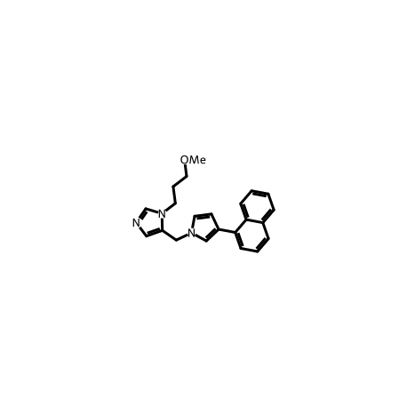 COCCCn1cncc1Cn1ccc(-c2cccc3ccccc23)c1